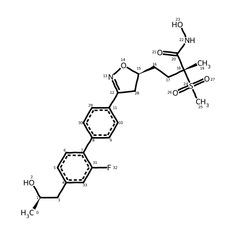 C[C@@H](O)Cc1ccc(-c2ccc(C3=NO[C@@H](CC[C@](C)(C(=O)NO)S(C)(=O)=O)C3)cc2)c(F)c1